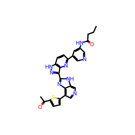 CCCC(=O)Nc1cncc(-c2ccc3[nH]nc(-c4nc5c(-c6ccc(C(C)=O)s6)cncc5[nH]4)c3n2)c1